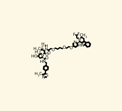 Cc1ncsc1-c1ccc(CNC(=O)[C@@H]2C[C@@H](O)CN2C(=O)[C@@H](NC(=O)COCCCCOCCOc2ccc([C@@H]3c4[nH]c5ccccc5c4C[C@@H](C)N3CC(F)F)nc2)C(C)(C)C)cc1